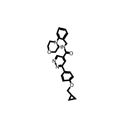 O=C(NCc1ccccc1N1CCOCC1)c1cnnc(-c2ccc(OCC3CC3)cc2)c1